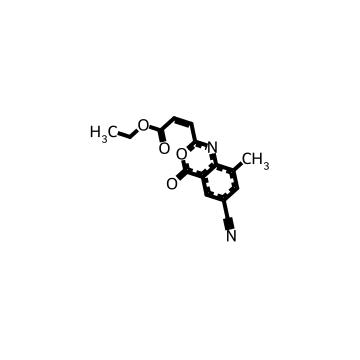 CCOC(=O)/C=C\c1nc2c(C)cc(C#N)cc2c(=O)o1